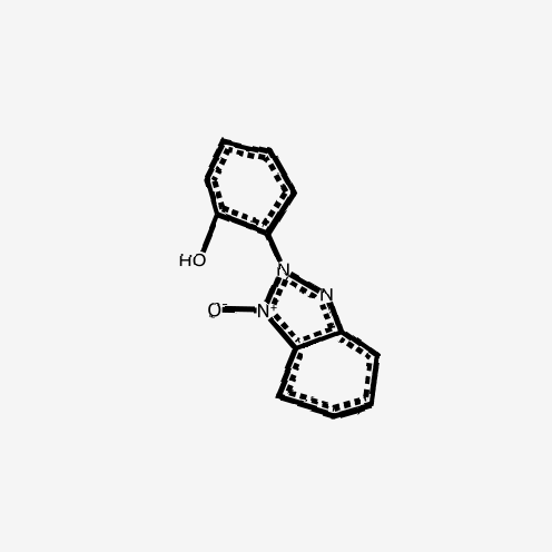 [O-][n+]1c2ccccc2nn1-c1ccccc1O